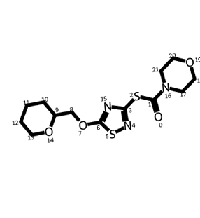 O=C(Sc1nsc(OCC2CCCCO2)n1)N1CCOCC1